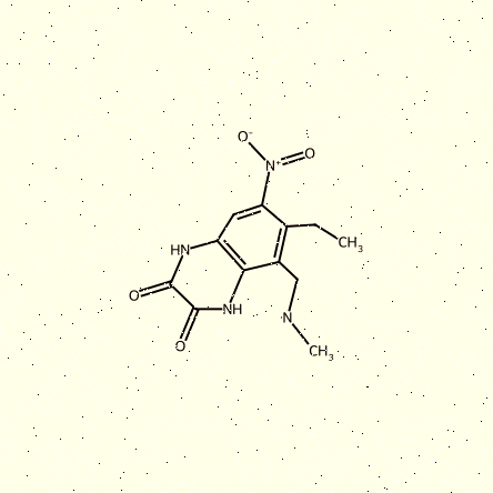 CCc1c([N+](=O)[O-])cc2[nH]c(=O)c(=O)[nH]c2c1C[N]C